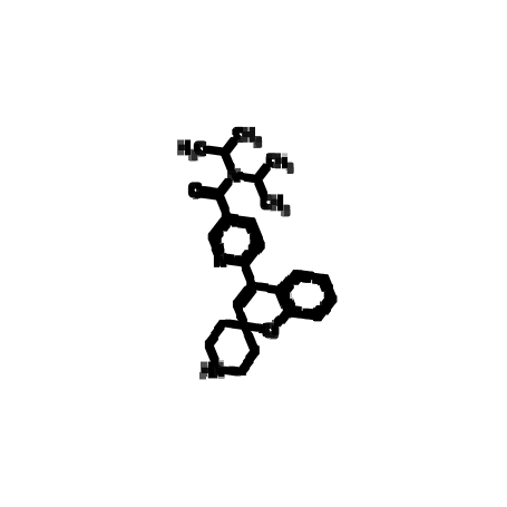 CC(C)N(C(=O)c1ccc(C2=CC3(CCNCC3)Oc3ccccc32)nc1)C(C)C